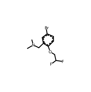 CN(C)Cc1cc(Br)ccc1OCC(F)F